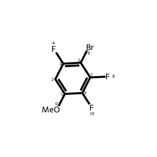 COc1cc(F)c(Br)c(F)c1F